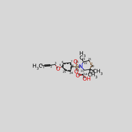 CC#CCOc1ccc(S(=O)(=O)N2[C@@H](C(=O)O)C(C)(C)SC[C@@H]2C)cc1